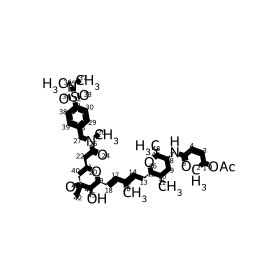 CC(=O)OC(C)/C=C\C(=O)N[C@@H]1C[C@H](C)[C@H](C/C=C(C)/C=C/[C@H]2O[C@H](CC(=O)N(C)Cc3ccc(S(=O)(=O)N(C)C)cc3)C[C@@]3(CO3)[C@@H]2O)O[C@@H]1C